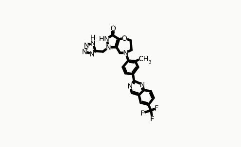 Cc1cc(-c2ncc3cc(C(F)(F)F)ccc3n2)ccc1N1CCOc2c(n(Cc3nnn[nH]3)[nH]c2=O)C1